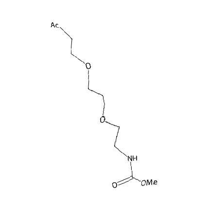 COC(=O)NCCOCCOCCC(C)=O